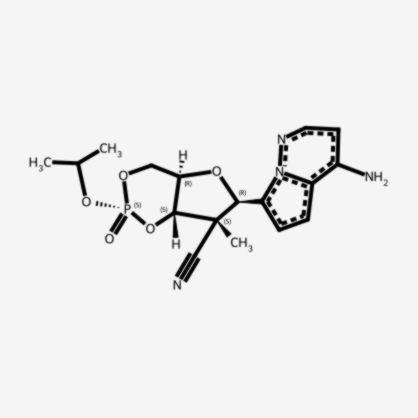 CC(C)O[P@]1(=O)OC[C@H]2O[C@@H](c3ccc4c(N)ccnn34)[C@](C)(C#N)[C@@H]2O1